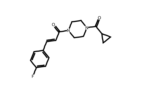 O=C(/C=C/c1ccc(F)cc1)N1CCN(C(=O)C2CC2)CC1